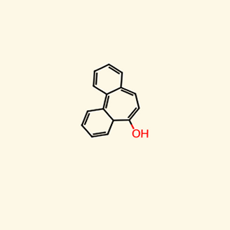 OC1=CC=c2ccccc2=C2C=CC=CC12